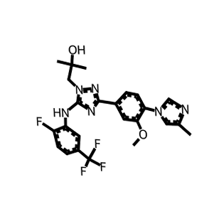 COc1cc(-c2nc(Nc3cc(C(F)(F)F)ccc3F)n(CC(C)(C)O)n2)ccc1-n1cnc(C)c1